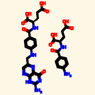 Nc1ccc(C(=O)NC(CCC(=O)O)C(=O)O)cc1.Nc1nc(=O)c2nc(CNc3ccc(C(=O)N[C@@H](CCC(=O)O)C(=O)O)cc3)cnc2[nH]1